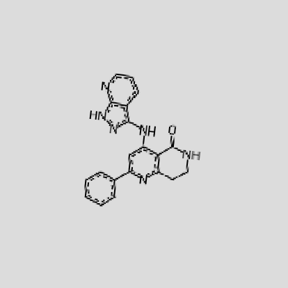 O=C1NCCc2nc(-c3ccccc3)cc(Nc3n[nH]c4ncccc34)c21